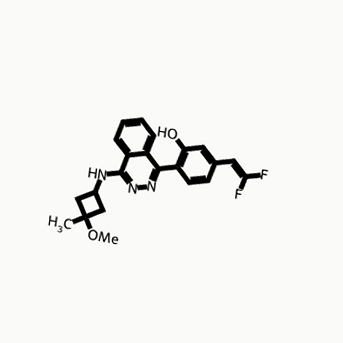 COC1(C)CC(Nc2nnc(-c3ccc(C=C(F)F)cc3O)c3ccccc23)C1